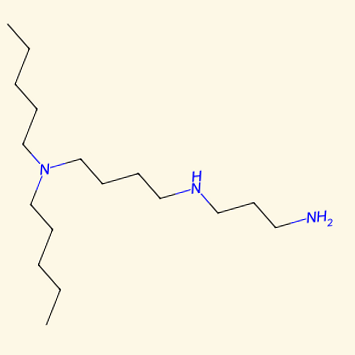 CCCCCN(CCCCC)CCCCNCCCN